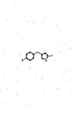 Cc1cc(Cc2ccc(I)cc2)cs1